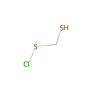 SCSCl